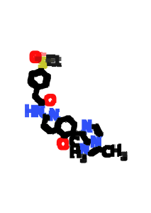 CC[S+]([O-])c1ccc(CC(=O)Nc2ccc3c(n2)CCC(C)(c2nccn4c(C)cnc24)C3=O)cc1